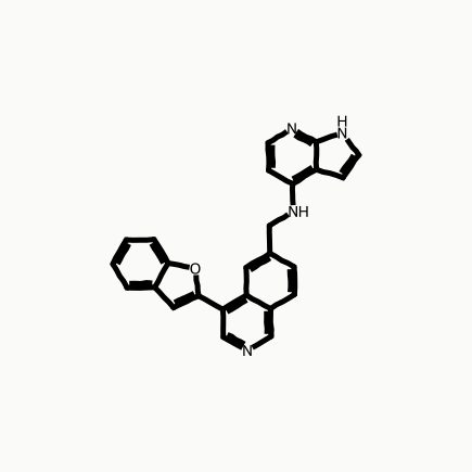 c1ccc2oc(-c3cncc4ccc(CNc5ccnc6[nH]ccc56)cc34)cc2c1